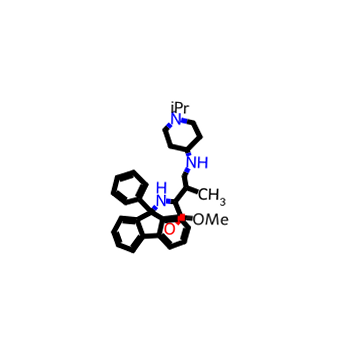 COC(=O)C(NC1(c2ccccc2)c2ccccc2-c2ccccc21)C(C)CNC1CCN(C(C)C)CC1